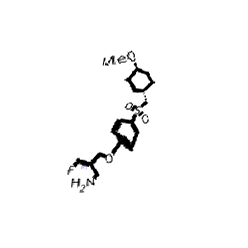 CO[C@H]1CC[C@H](CS(=O)(=O)c2ccc(OC/C(=C/F)CN)cc2)CC1